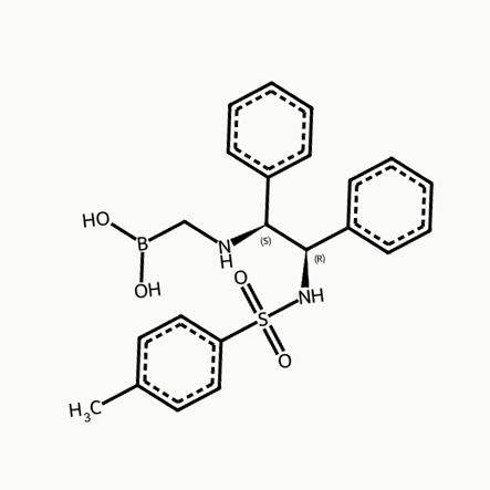 Cc1ccc(S(=O)(=O)N[C@H](c2ccccc2)[C@@H](NCB(O)O)c2ccccc2)cc1